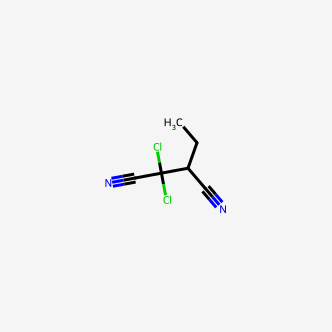 CCC(C#N)C(Cl)(Cl)C#N